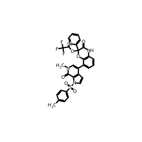 Cc1ccc(S(=O)(=O)n2ccc3c(-c4cccc5c4OC(OC(=O)C(F)(F)F)(c4ccccn4)C(=O)N5)cn(C)c(=O)c32)cc1